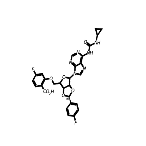 O=C(Nc1ncnc2c1ncn2C1OC(COc2cc(F)ccc2C(=O)O)C2O[C@H](c3ccc(F)cc3)OC21)NC1CC1